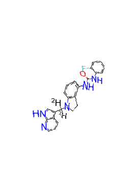 [2H]C([2H])(c1c[nH]c2ncccc12)N1CCc2c(NC(=O)Nc3ccccc3F)cccc21